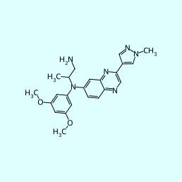 COc1cc(OC)cc(N(c2ccc3ncc(-c4cnn(C)c4)nc3c2)C(C)CN)c1